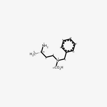 C[C@H](N)CCN(Cc1ccccc1)C(=O)O